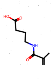 C=C(C)C(=O)NCCCC(=O)O